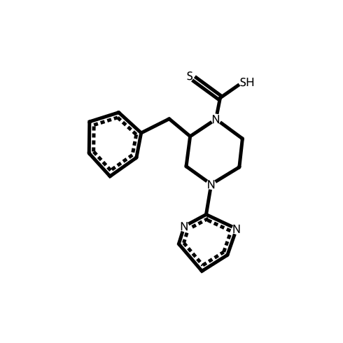 S=C(S)N1CCN(c2ncccn2)CC1Cc1ccccc1